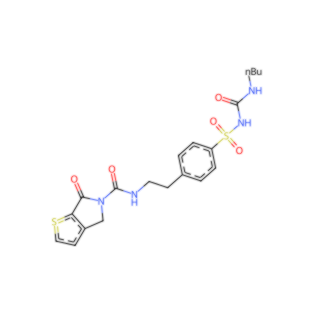 CCCCNC(=O)NS(=O)(=O)c1ccc(CCNC(=O)N2Cc3ccsc3C2=O)cc1